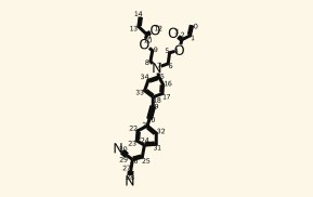 C=CC(=O)OCCN(CCOC(=O)C=C)c1ccc(C#Cc2ccc(C=C(C#N)C#N)cc2)cc1